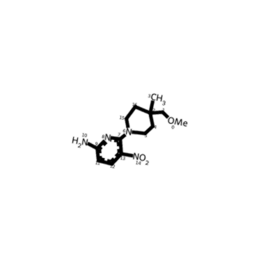 COCC1(C)CCN(c2nc(N)ccc2[N+](=O)[O-])CC1